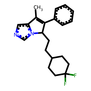 CC1=C(c2ccccc2)C(CCC2CCC(F)(F)CC2)n2cncc21